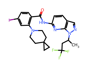 CC(CC(F)(F)F)n1ncc2ccc(NC(=O)c3ccc(I)cc3N3CCC4(CC3)CC4)nc21